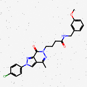 COc1cccc(CNC(=O)CCCn2nc(C)c3cn(-c4ccc(Cl)cc4)nc3c2=O)c1